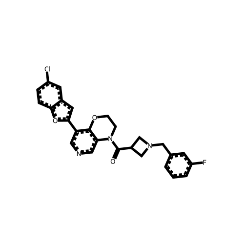 O=C(C1CN(Cc2cccc(F)c2)C1)N1CCOc2c(-c3cc4cc(Cl)ccc4o3)cncc21